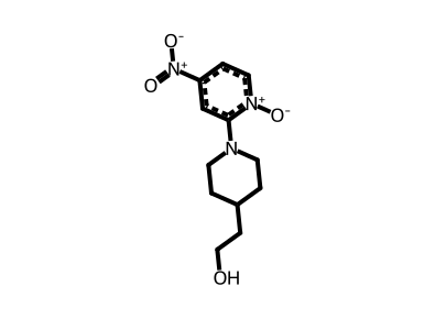 O=[N+]([O-])c1cc[n+]([O-])c(N2CCC(CCO)CC2)c1